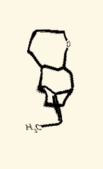 CC=C1C2CCC1C1OCCCC21